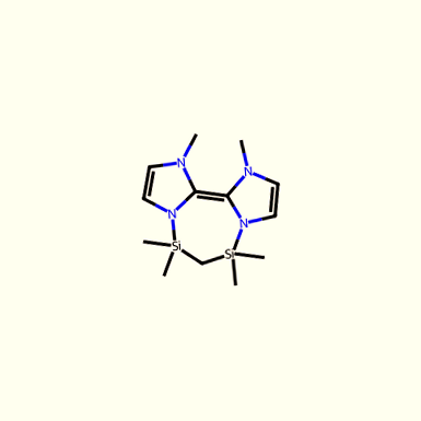 CN1C=CN2C1=C1N(C)C=CN1[Si](C)(C)C[Si]2(C)C